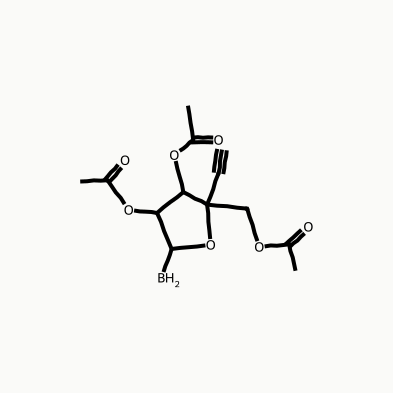 BC1OC(C#C)(COC(C)=O)C(OC(C)=O)C1OC(C)=O